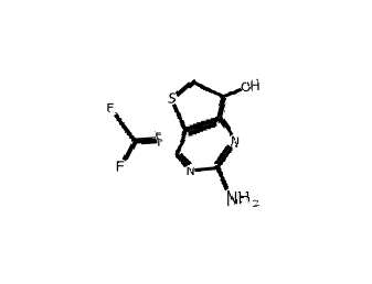 FC(F)F.Nc1ncc2c(n1)C(O)CS2